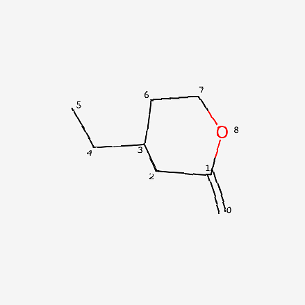 C=C1CC(CC)CCO1